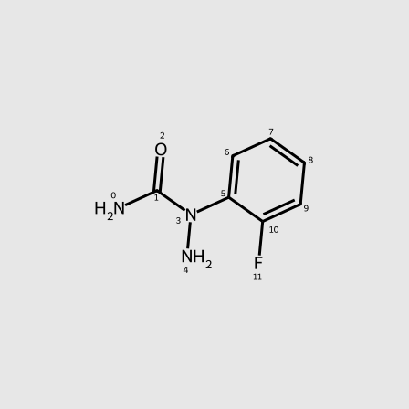 NC(=O)N(N)c1ccccc1F